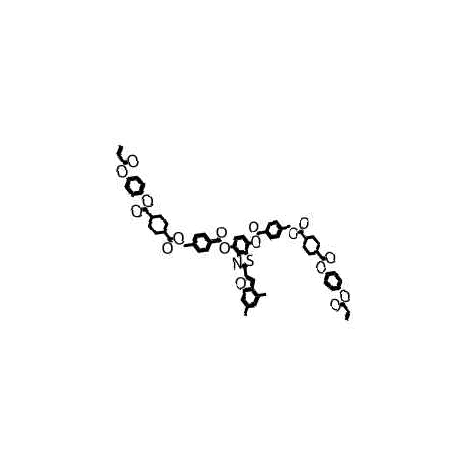 C=CC(=O)Oc1ccc(OC(=O)C2CCC(C(=O)OCc3ccc(C(=O)Oc4ccc(OC(=O)c5ccc(COC(=O)C6CCC(C(=O)Oc7ccc(OC(=O)C=C)cc7)CC6)cc5)c5sc(-c6cc7c(C)cc(C)cc7o6)nc45)cc3)CC2)cc1